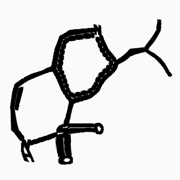 CC(C)c1cc2c(cn1)C=CNS2(=O)=O